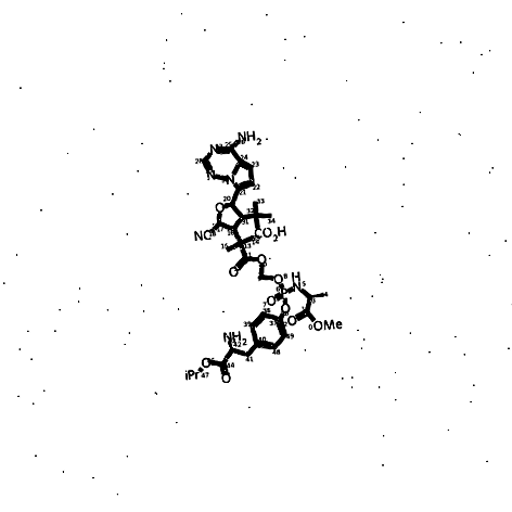 COC(=O)[C@H](C)NP(=O)(OCOC(=O)C(C)(C)C1C(C#N)OC(c2ccc3c(N)ncnn23)C1C(C)(C)C(=O)O)Oc1ccc(C[C@H](N)C(=O)OC(C)C)cc1